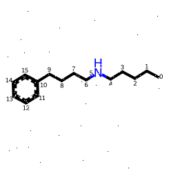 CCCCCNCCCCc1ccccc1